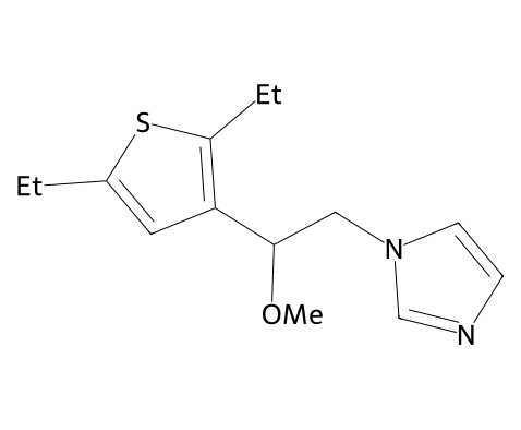 CCc1cc(C(Cn2ccnc2)OC)c(CC)s1